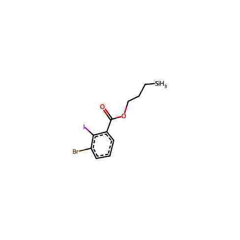 O=C(OCCC[SiH3])c1cccc(Br)c1I